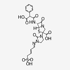 O=C(O)C(C(=O)N[C@@H]1C(=O)N2C[C@@](C(=O)O)(N3CCN(/N=C/C=C/CS(=O)(=O)O)C3=O)S[C@H]12)c1ccccc1